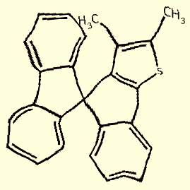 Cc1sc2c(c1C)C1(c3ccccc3-c3ccccc31)c1ccccc1-2